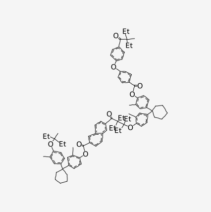 CCC(C)(CC)Oc1ccc(C2(c3ccc(OC(=O)c4ccc5cc(C(=O)C(CC)(CC)C(CC)(CC)Oc6ccc(C7(c8ccc(OC(=O)c9ccc(Oc%10ccc(C(=O)C(C)(CC)CC)cc%10)cc9)c(C)c8)CCCCC7)cc6C)ccc5c4)c(C)c3)CCCCC2)cc1C